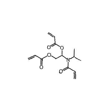 C=CC(=O)OCC(OC(=O)C=C)N(C(=O)C=C)C(C)C